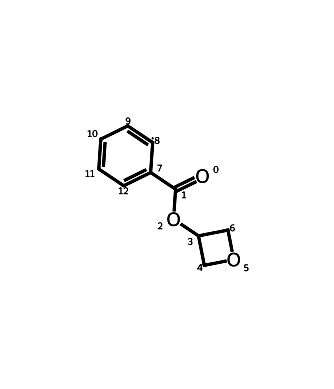 O=C(OC1COC1)c1[c]cccc1